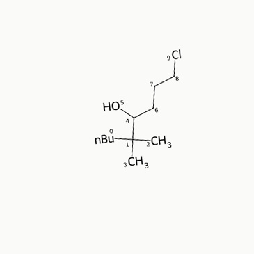 CCCCC(C)(C)C(O)CCCCl